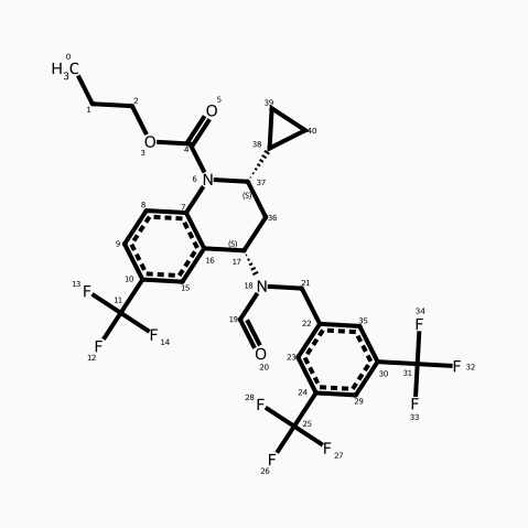 CCCOC(=O)N1c2ccc(C(F)(F)F)cc2[C@@H](N(C=O)Cc2cc(C(F)(F)F)cc(C(F)(F)F)c2)C[C@H]1C1CC1